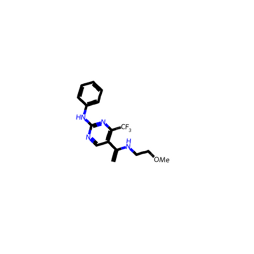 C=C(NCCOC)c1cnc(Nc2ccccc2)nc1C(F)(F)F